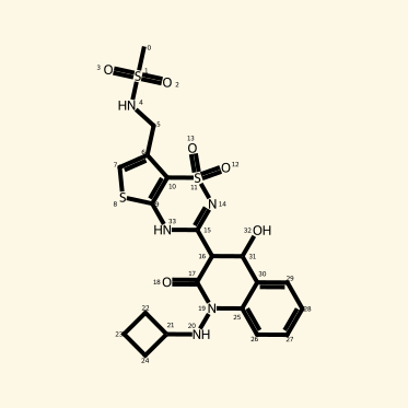 CS(=O)(=O)NCc1csc2c1S(=O)(=O)N=C(C1C(=O)N(NC3CCC3)c3ccccc3C1O)N2